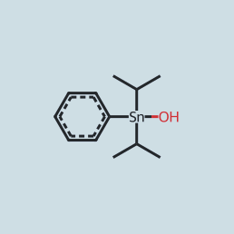 C[CH](C)[Sn]([OH])([c]1ccccc1)[CH](C)C